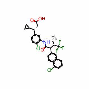 C[C@H]([C@H](C(=O)Nc1cc([C@@H](CC(=O)O)C2CC2)ccc1Cl)c1ccc2c(Cl)cccc2c1)C(F)(F)F